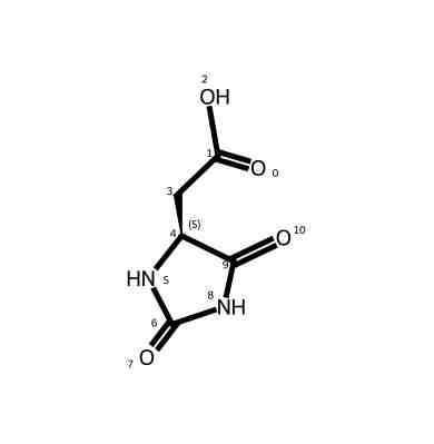 O=C(O)C[C@@H]1NC(=O)NC1=O